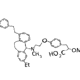 CCc1ccc2c(c1)C(N(C)CCOc1ccc(CC(OC)C(=O)O)cc1)c1cccc(CCc3ccccc3)c1CC2